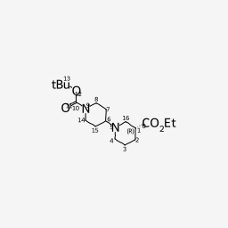 CCOC(=O)[C@@H]1CCCN(C2CCN(C(=O)OC(C)(C)C)CC2)C1